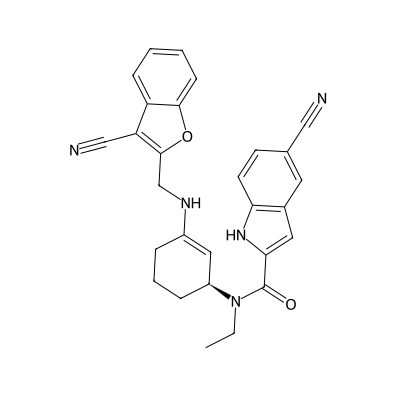 CCN(C(=O)c1cc2cc(C#N)ccc2[nH]1)[C@@H]1C=C(NCc2oc3ccccc3c2C#N)CCC1